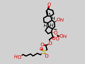 C[C@]12CCC(=O)C=C1CC[C@@H]1[C@@H]2[C@@H](O)C[C@@]2(C)[C@H]1CC[C@]2(OC(=O)O)C(=O)COC(=O)CS(=O)(=O)CCCCCCO